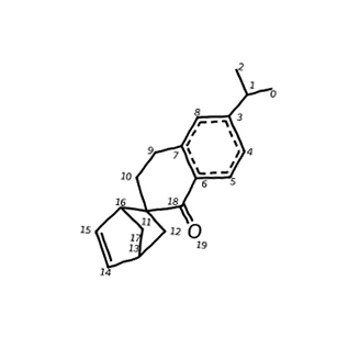 CC(C)c1ccc2c(c1)CCC1(CC3C=CC1C3)C2=O